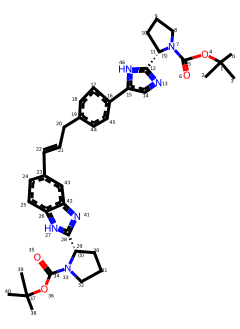 CC(C)(C)OC(=O)N1CCC[C@H]1c1ncc(-c2ccc(CC=Cc3ccc4[nH]c([C@@H]5CCCN5C(=O)OC(C)(C)C)nc4c3)cc2)[nH]1